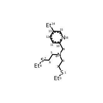 CCSCCN(CCSCC)Cc1ccc(CC)cn1